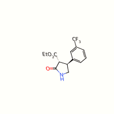 CCOC(=O)[C@H]1C(=O)NC[C@@H]1c1cccc(C(F)(F)F)c1